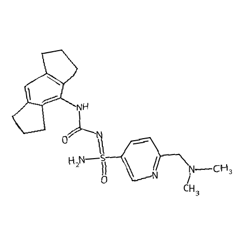 CN(C)Cc1ccc(S(N)(=O)=NC(=O)Nc2c3c(cc4c2CCC4)CCC3)cn1